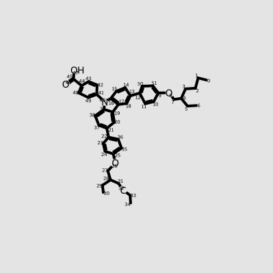 CCCCC(CC)COc1ccc(-c2ccc3c(c2)c2cc(-c4ccc(OCC(CC)CCCC)cc4)ccc2n3-c2ccc(C(=O)O)cc2)cc1